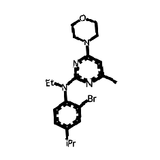 CCN(c1nc(C)cc(N2CCOCC2)n1)c1ccc(C(C)C)cc1Br